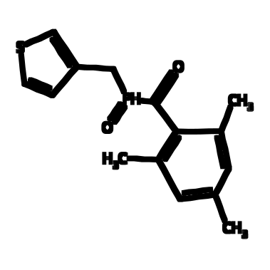 Cc1cc(C)c(C(=O)[PH](=O)Cc2ccsc2)c(C)c1